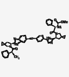 COC(=O)N[C@H](C(=O)N1CC2(CC2)C[C@H]1c1ncc(-c2ccc(C#Cc3ccc4nc([C@@H]5CC6(CC6)CN5C(=O)[C@@H](C)c5ccccc5)[nH]c4c3)cc2)[nH]1)c1ccccc1